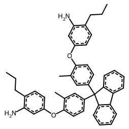 CCCc1ccc(Oc2ccc(C3(c4ccc(Oc5ccc(CCC)c(N)c5)c(C)c4)c4ccccc4-c4ccccc43)cc2C)cc1N